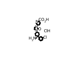 Cl.NC[C@]1(c2cccc(Cl)c2)CC[C@H](N2CCN(c3ccc(C(=O)O)nc3)C2=O)CC1